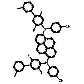 Cc1cccc(-c2cc(F)c(N(c3ccc(C#N)cc3)c3ccc4ccc5c(N(c6ccc(C#N)cc6)c6cc(F)c(-c7cccc(C)c7)cc6F)ccc6ccc3c4c65)cc2F)c1